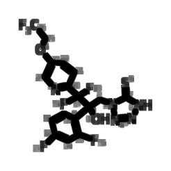 OC(Cn1nn[nH]c1=S)(c1ccc(F)cc1F)C(F)(F)c1ccc(OCC(F)(F)F)cn1